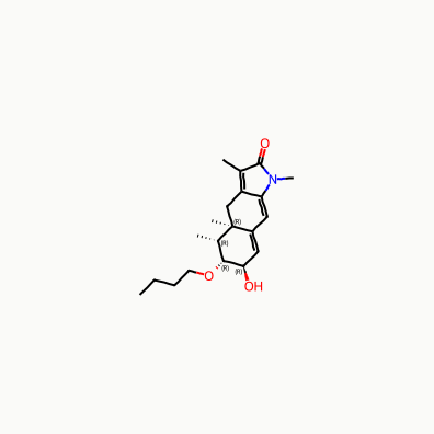 CCCCO[C@H]1[C@H](O)C=C2C=C3C(=C(C)C(=O)N3C)C[C@]2(C)[C@H]1C